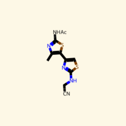 CC(=O)Nc1nc(C)c(-c2csc(NCC#N)n2)s1